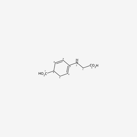 O=C(O)CNC1=CCC(C(=O)O)C=C1